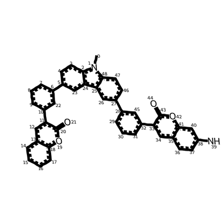 Cn1c2ccc(-c3cccc(-c4cc5ccccc5oc4=O)c3)cc2c2cc(-c3cccc(-c4cc5ccc(N)cc5oc4=O)c3)ccc21